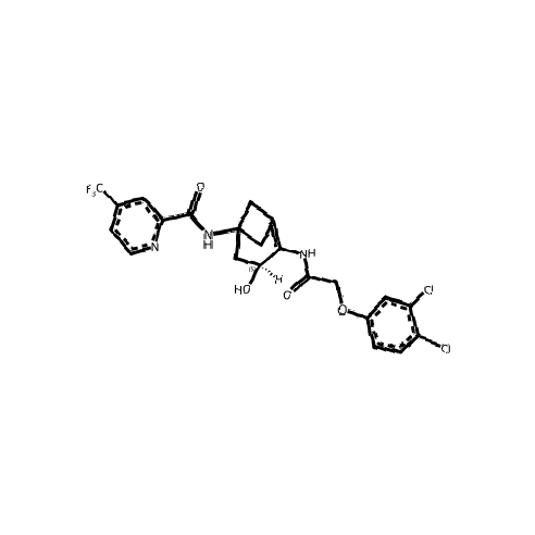 O=C(COc1ccc(Cl)c(Cl)c1)NC1=C2CC(NC(=O)c3cc(C(F)(F)F)ccn3)(C2)C[C@@H]1O